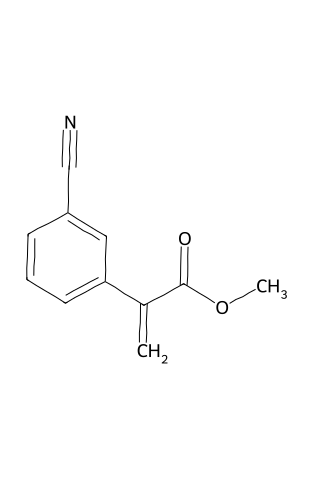 C=C(C(=O)OC)c1cccc(C#N)c1